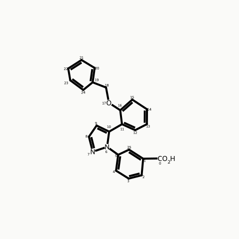 O=C(O)c1cccc(-n2nccc2-c2ccccc2OCc2ccccc2)c1